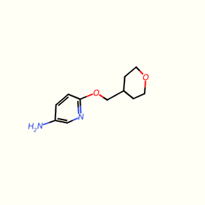 Nc1ccc(OCC2CCOCC2)nc1